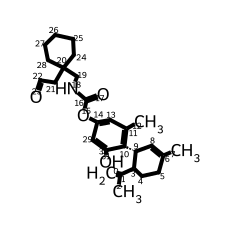 C=C(C)C1CCC(C)=C[C@H]1c1c(C)cc(OC(=O)NCC2(CC=O)CCCCC2)cc1O